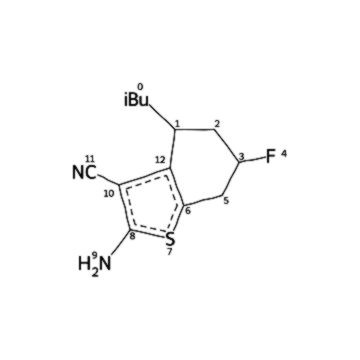 CCC(C)C1CC(F)Cc2sc(N)c(C#N)c21